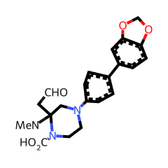 CNC1(CC=O)CN(c2ccc(-c3ccc4c(c3)OCO4)cc2)CCN1C(=O)O